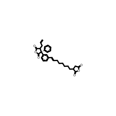 C=CCC1C(=O)OC(=O)[C@]1(c1ccccc1)c1cccc(/C=C/CCCCCCC2CC(=O)OC2=O)c1